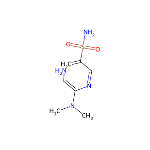 C=C(/C=N\C(=C/N)N(C)C)S(N)(=O)=O